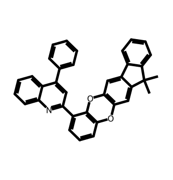 CC1(C)c2ccccc2-c2cc3c(cc21)Oc1cccc(-c2cc(-c4ccccc4)c4ccccc4n2)c1O3